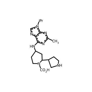 Cc1nc(NC2CCN(C(=O)O)C(C3CCNC3)C2)c2ncn(C(C)C)c2n1